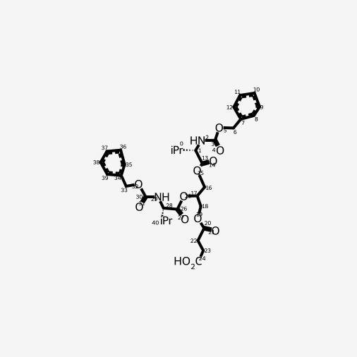 CC(C)[C@H](NC(=O)OCc1ccccc1)C(=O)OCC(COC(=O)CCC(=O)O)OC(=O)[C@@H](NC(=O)OCc1ccccc1)C(C)C